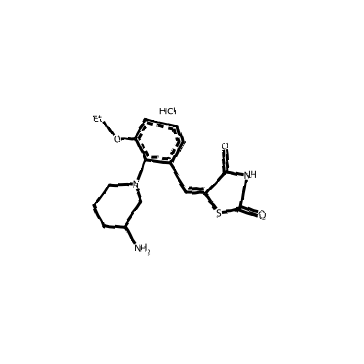 CCOc1cccc(C=C2SC(=O)NC2=O)c1N1CCCC(N)C1.Cl